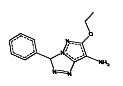 CCOc1nn2c(c1N)N=NC2c1ccccc1